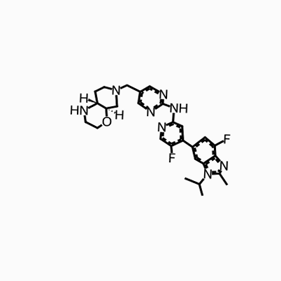 Cc1nc2c(F)cc(-c3cc(Nc4ncc(CN5CC[C@H]6NCCO[C@@H]6C5)cn4)ncc3F)cc2n1C(C)C